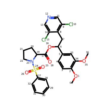 COc1ccc(C(Cc2c(Cl)cncc2Cl)OC(=O)C2CCCN2S(=O)(=O)c2ccccc2)cc1OC